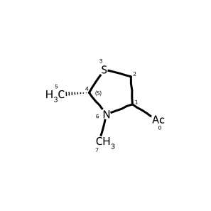 CC(=O)C1CS[C@@H](C)N1C